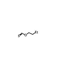 CCCCO[C]=S